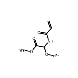 C=CC(=O)NC(OCCC)C(=O)OCCC